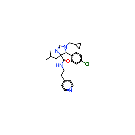 CC(C)CC1(C(=O)NCCc2ccncc2)N=CN(CC2CC2)C1c1ccc(Cl)cc1